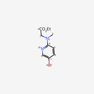 CCOC(=O)CN(C)c1ccc(Br)cn1